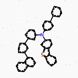 c1ccc(-c2ccc(N(c3cccc(-c4cccc(-c5cccc6ccccc56)c4)c3)c3ccc4c(c3)sc3ccccc34)cc2)cc1